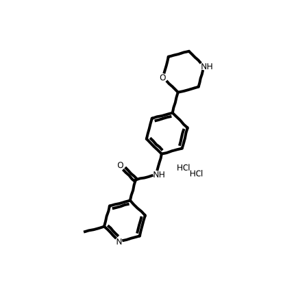 Cc1cc(C(=O)Nc2ccc(C3CNCCO3)cc2)ccn1.Cl.Cl